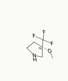 CO[C@@]1(C(F)(F)F)CCNC1